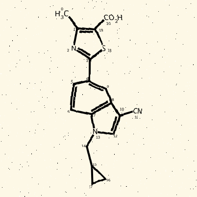 Cc1nc(-c2ccc3c(c2)c(C#N)cn3CC2CC2)sc1C(=O)O